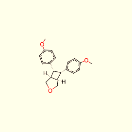 COc1ccc([C@@H]2[C@H]3COC[C@H]3[C@@H]2c2ccc(OC)cc2)cc1